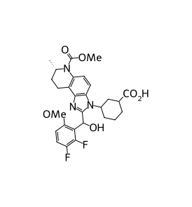 COC(=O)N1c2ccc3c(nc(C(O)c4c(OC)ccc(F)c4F)n3C3CCCC(C(=O)O)C3)c2CC[C@@H]1C